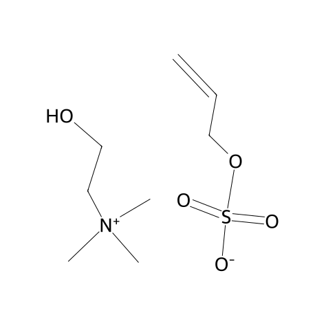 C=CCOS(=O)(=O)[O-].C[N+](C)(C)CCO